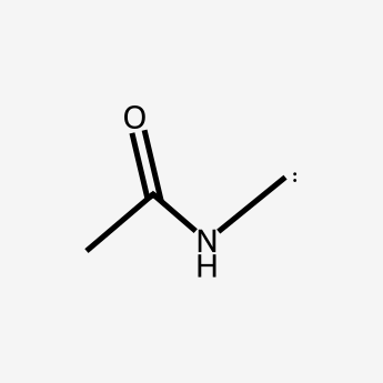 [CH]NC(C)=O